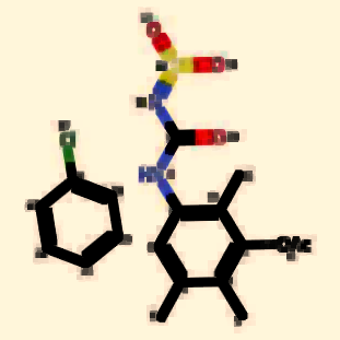 CC(=O)Oc1c(C)c(C)cc(NC(=O)N=S(=O)=O)c1C.Clc1ccccc1